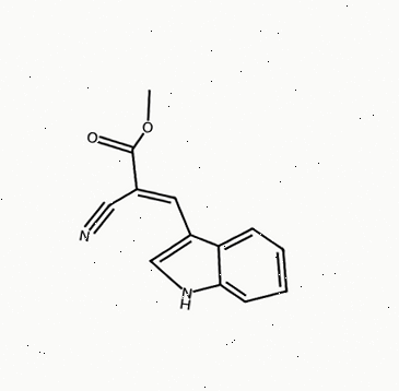 COC(=O)/C(C#N)=C/c1c[nH]c2ccccc12